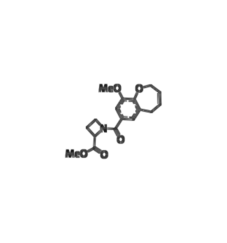 COC(=O)C1CCN1C(=O)c1cc2c(c(OC)c1)OCC=CC2